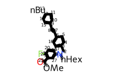 CCCCCCN(Cc1ccc(C#Cc2ccc(CCCC)cc2)cc1)c1ccc(F)c(C(=O)OC)c1